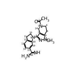 CC(=O)N1CCc2c(c(N3CCc4ccc(C(=N)N)cc43)nn2C)C1